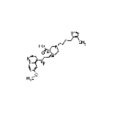 COc1ccc2nccc([C@@H](F)CC[C@@H]3CCN(CCCCc4sccc4C)C[C@@H]3C(=O)O)c2c1